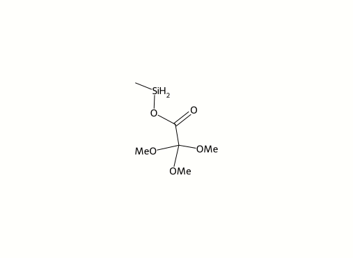 COC(OC)(OC)C(=O)O[SiH2]C